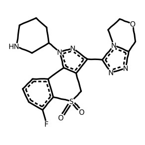 O=S1(=O)Cc2c(-c3nnc4n3CCOC4)nn(C3CCCNC3)c2-c2cccc(F)c21